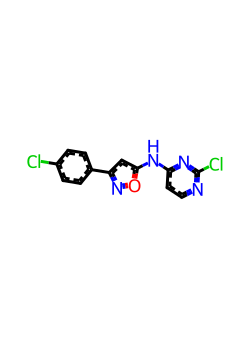 Clc1ccc(-c2cc(Nc3ccnc(Cl)n3)on2)cc1